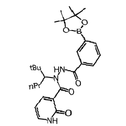 CCCC(N(NC(=O)c1cccc(B2OC(C)(C)C(C)(C)O2)c1)C(=O)c1ccc[nH]c1=O)C(C)(C)C